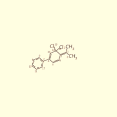 CC(C)=C1C=CC(c2ccccc2)=CC1(Cl)Cl